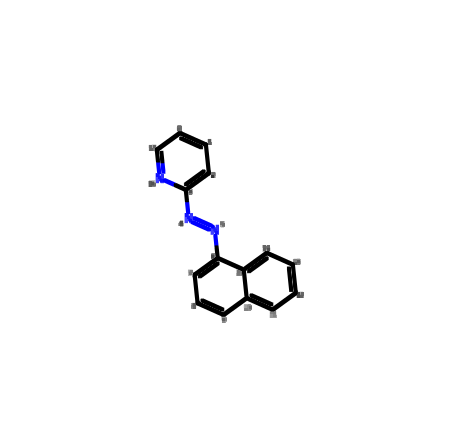 c1ccc(N=Nc2cccc3ccccc23)nc1